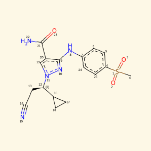 CS(=O)(=O)c1ccc(Nc2nn([C@H](CC#N)C3CC3)cc2C(N)=O)cc1